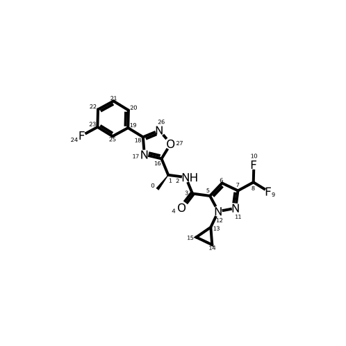 C[C@H](NC(=O)c1cc(C(F)F)nn1C1CC1)c1nc(-c2cccc(F)c2)no1